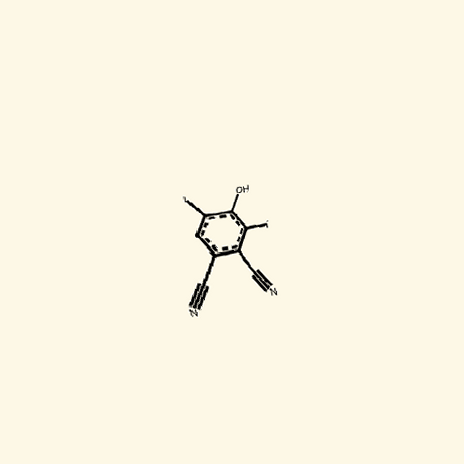 N#Cc1cc(I)c(O)c(I)c1C#N